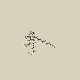 CCCCCCCCC1=[C]C(C)(CC)C(CCC)=C1CCCCCC